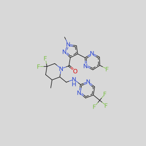 CC1CC(F)(F)CN(C(=O)c2nn(C)cc2-c2ncc(F)cn2)C1CNc1ncc(C(F)(F)F)cn1